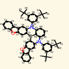 CC(C)(C)c1cc(N2c3cc4c(cc3B3c5cc6oc7ccccc7c6cc5N(c5cc(C(C)(C)C)cc(C(C)(C)C)c5)c5cccc2c53)oc2ccccc24)cc(C(C)(C)C)c1